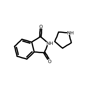 C1CCNC1.O=C1NC(=O)c2ccccc21